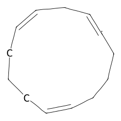 [C]1=CCC=CCCCC=CCCC1